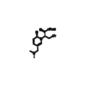 CCCCCC(=O)C(CC(C)C)n1cc(CN(C)C)ccc1=O